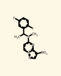 CC(c1cc(F)ccc1F)N(C)c1ccn2ncc([N+](=O)[O-])c2n1